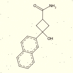 NC(=O)C1CC(O)(c2ccc3ccccc3c2)C1